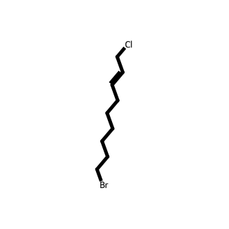 ClCC=CCCCCCCBr